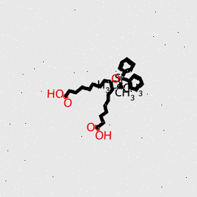 CC(C)(C)[Si](OC(CCCCCCCC(=O)O)CCCCCCCC(=O)O)(c1ccccc1)c1ccccc1